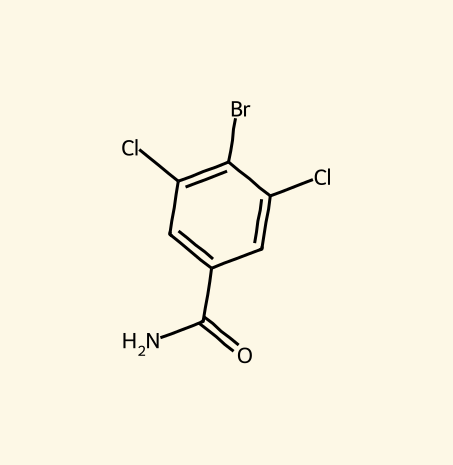 NC(=O)c1cc(Cl)c(Br)c(Cl)c1